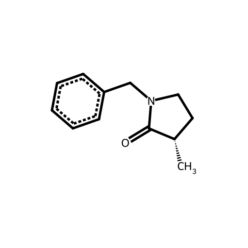 C[C@H]1CCN(Cc2ccccc2)C1=O